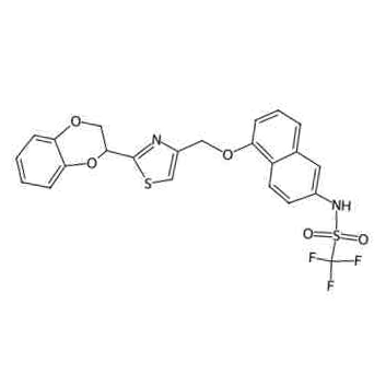 O=S(=O)(Nc1ccc2c(OCc3csc(C4COc5ccccc5O4)n3)cccc2c1)C(F)(F)F